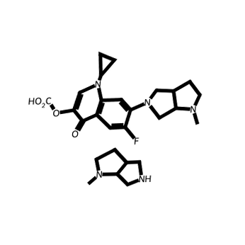 CN1CCC2CN(c3cc4c(cc3F)c(=O)c(OC(=O)O)cn4C3CC3)CC21.CN1CCC2CNCC21